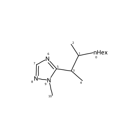 CCCCCCC(C)C(C)c1ncnn1C